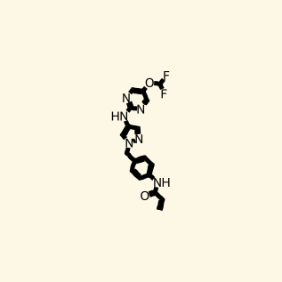 C=CC(=O)Nc1ccc(Cn2cc(Nc3ncc(OC(F)F)cn3)cn2)cc1